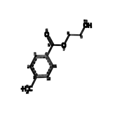 [CH2]c1ccc(C(=O)OCCO)cc1